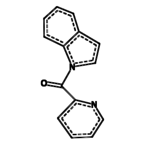 O=C(c1ccccn1)n1ccc2ccccc21